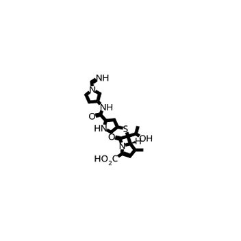 CC1C=C(C(=O)O)N2C(=O)C(SC3CNC(C(=O)NC4CCN(C=N)C4)C3)(C(C)O)[C@H]12